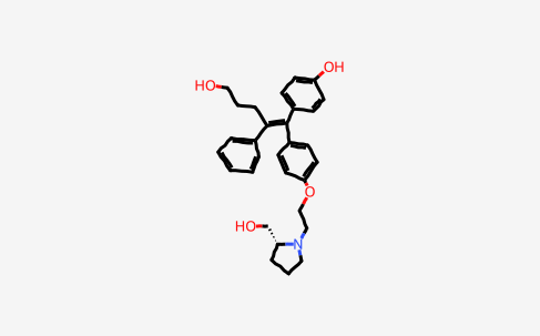 OCCC/C(=C(\c1ccc(O)cc1)c1ccc(OCCN2CCC[C@@H]2CO)cc1)c1ccccc1